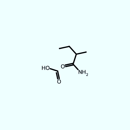 CCC(C)C(N)=O.O=CO